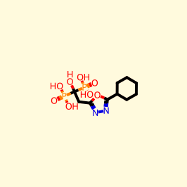 O=P(O)(O)C(O)(Cc1nnc(C2CCCCC2)o1)P(=O)(O)O